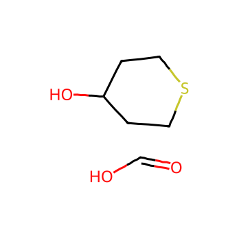 O=CO.OC1CCSCC1